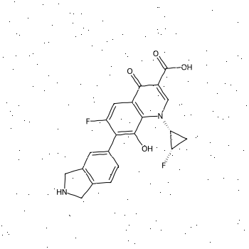 O=C(O)c1cn([C@@H]2C[C@@H]2F)c2c(O)c(-c3ccc4c(c3)CNC4)c(F)cc2c1=O